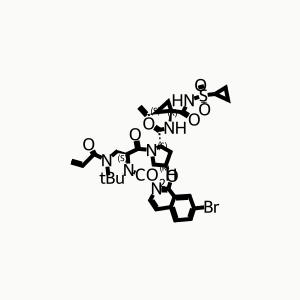 C=CC(=O)N(C)C[C@@H](C(=O)N1C[C@H](Oc2nccc3ccc(Br)cc23)C[C@H]1C(=O)N[C@]1(C(=O)NS(=O)(=O)C2CC2)C[C@H]1C=C)N(C(=O)O)C(C)(C)C